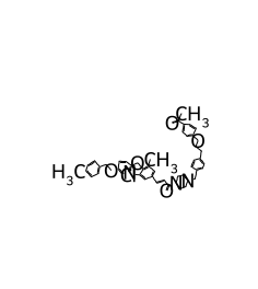 CC(=O)c1ccc(OCCc2ccc(CN3CCN(C(=O)C=Cc4cc(C)c(Oc5ccc(OCc6ccc(C)cc6)cn5)c(Cl)c4)CC3)cc2)cc1